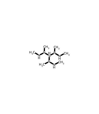 CNN(C)[SiH](N(C)NC)N(C)NC